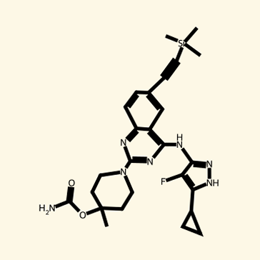 CC1(OC(N)=O)CCN(c2nc(Nc3n[nH]c(C4CC4)c3F)c3cc(C#C[Si](C)(C)C)ccc3n2)CC1